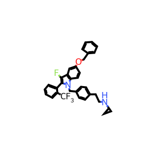 Fc1c(-c2ccccc2C(F)(F)F)n(Cc2ccc(CCNC3CC3)cc2)c2ccc(OCc3ccccc3)cc12